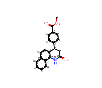 COC(=O)c1ccc(C2CC(=O)Nc3c2ccc2ccccc32)cc1